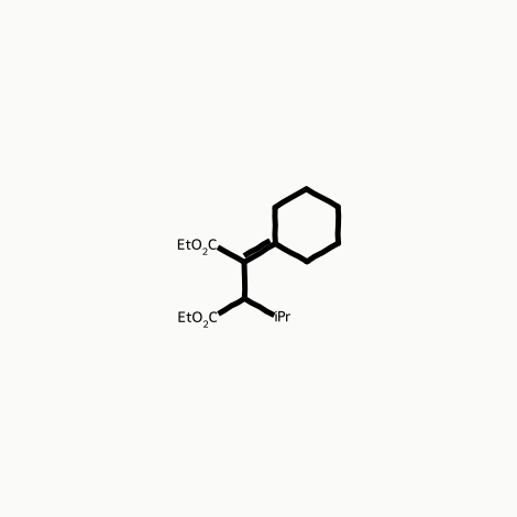 CCOC(=O)C(=C1CCCCC1)C(C(=O)OCC)C(C)C